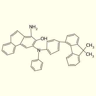 CC1(C)c2ccccc2-c2c(-c3ccc(N(c4ccccc4)c4cc5c(ccc6ccccc65)c(N)c4O)cc3)cccc21